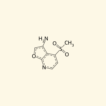 CS(=O)(=O)c1ccnc2occ(N)c12